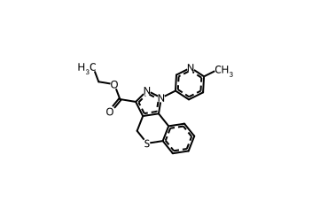 CCOC(=O)c1nn(-c2ccc(C)nc2)c2c1CSc1ccccc1-2